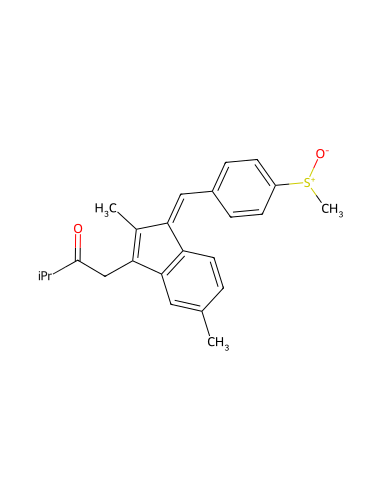 CC1=C(CC(=O)C(C)C)c2cc(C)ccc2/C1=C\c1ccc([S+](C)[O-])cc1